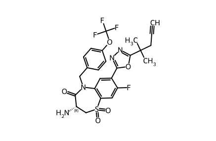 C#CCC(C)(C)c1nnc(-c2cc3c(cc2F)S(=O)(=O)C[C@H](N)C(=O)N3Cc2ccc(OC(F)(F)F)cc2)o1